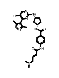 Cc1noc(C)c1-c1nc(N[C@@H]2CC[C@H](NC(=O)c3ccc(NC(=O)C=CCN(C)C)cc3)C2)ncc1Cl